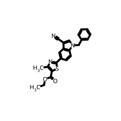 CCOC(=O)c1sc(-c2ccc3c(c2)c(C#N)cn3Cc2ccccc2)nc1C